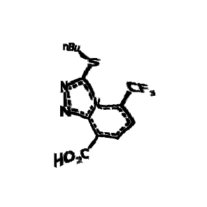 CCCCSc1nnc2c(C(=O)O)ccc(C(F)(F)F)n12